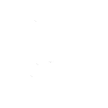 Clc1cc(Nc2ncnc3cccc(OC4CCOC4)c23)ccc1OCc1ccccn1